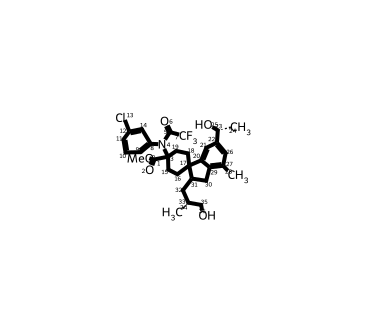 COC(=O)C1(N(C(=O)C(F)(F)F)c2cccc(Cl)c2)CCC2(CC1)c1cc([C@@H](C)O)cc(C)c1CC2C[C@@H](C)CO